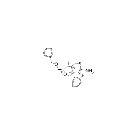 NC1=N[C@@]2(c3ccccc3F)CO[C@@H](COCc3ccccc3)C[C@H]2CS1